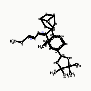 C=C/C(=C\C=C\OC)CN1C2CC1CN(c1ccc(B3OC(C)(C)C(C)(C)O3)cn1)C2